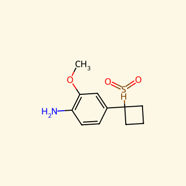 COc1cc(C2([SH](=O)=O)CCC2)ccc1N